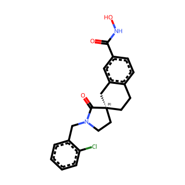 O=C(NO)c1ccc2c(c1)C[C@]1(CC2)CCN(Cc2ccccc2Cl)C1=O